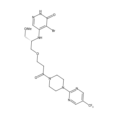 COC[C@@H](COCCC(=O)N1CCN(c2ncc(C(F)(F)F)cn2)CC1)Nc1cn[nH]c(=O)c1Br